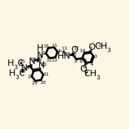 COc1ccc(OC)c(CC(=O)NC[C@H]2CC[C@@H](Nc3nc4c(c(N(C)C)n3)CCCC4)CC2)c1